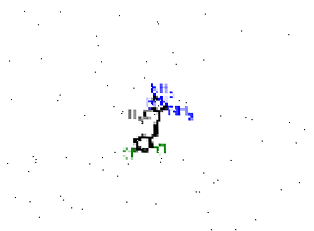 Cc1nc(N)nc(N)c1CCCc1ccc(Cl)cc1Cl